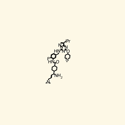 CC(C)c1cnn2c(NCc3ccc(F)c(NC(=O)C4CCC(C(N)C=CCN(C)C)CC4)c3)nc(OC3CCN(C)CC3)nc12